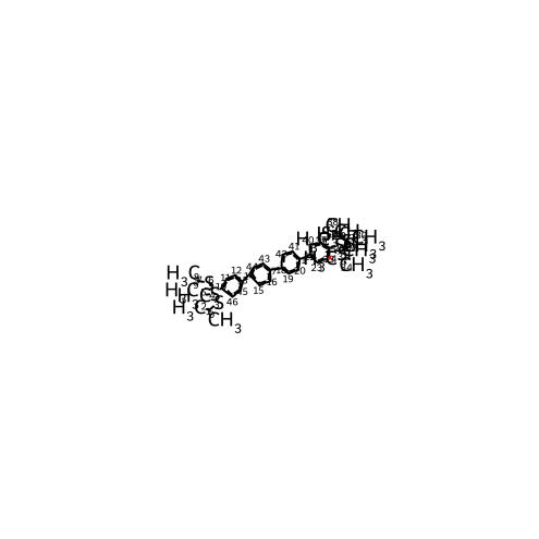 CC(C)SS(C)(SC(C)C)c1ccc(-c2ccc(-c3ccc(-c4ccc([Si]([Si](C)(C)C)([Si](C)(C)C)[Si](C)(C)C)cc4)cc3)cc2)cc1